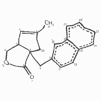 CC1=CC2COC(=O)C2(Cc2ccc3ccccc3c2)C1